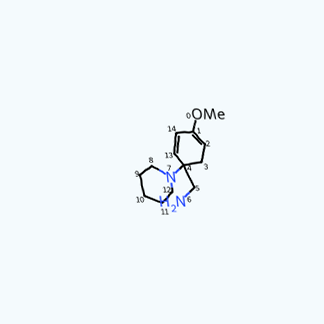 COC1=CCC(CN)(N2CCCCC2)C=C1